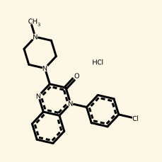 CN1CCN(c2nc3ccccc3n(-c3ccc(Cl)cc3)c2=O)CC1.Cl